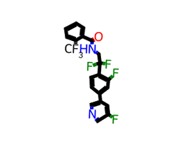 O=C(NCC(F)(F)c1ccc(-c2cncc(F)c2)cc1F)c1ccccc1C(F)(F)F